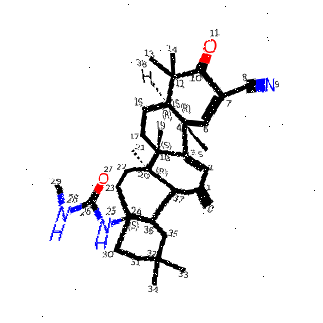 C=C1C=C2[C@@]3(C)C=C(C#N)C(=O)C(C)(C)[C@@H]3CC[C@@]2(C)[C@]2(C)CC[C@@]3(NC(=O)NC)CCC(C)(C)CC3C12